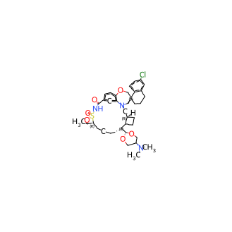 CC[C@@H]1CCCC[C@@H]([C@H]2OC[C@H](N(C)C)CO2)C2CC[C@H]2CN2C[C@@]3(CCCc4cc(Cl)ccc43)COc3ccc(cc32)C(=O)NS1(=O)=O